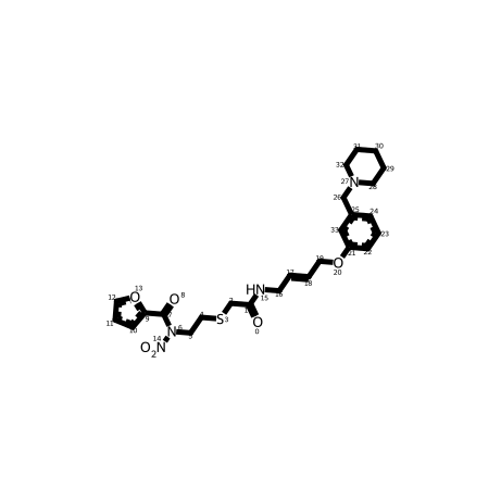 O=C(CSCCN(C(=O)c1ccco1)[N+](=O)[O-])NCC=CCOc1cccc(CN2CCCCC2)c1